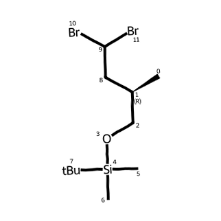 C[C@@H](CO[Si](C)(C)C(C)(C)C)CC(Br)Br